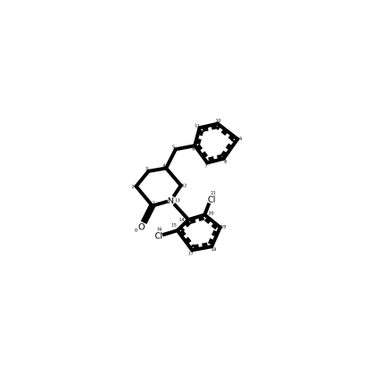 O=C1CCC(Cc2ccccc2)CN1c1c(Cl)cccc1Cl